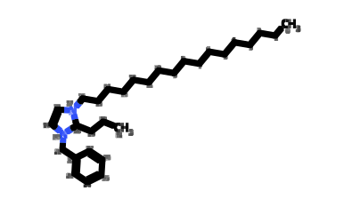 CCCCCCCCCCCCCCCCCN1C=CN(Cc2ccccc2)C1CCC